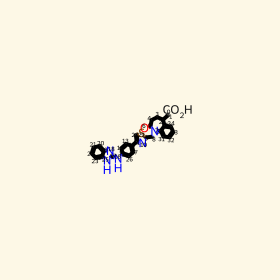 O=C(O)CC1CCC(=O)N(Cc2nc(-c3ccc(Nc4nc5ccccc5[nH]4)cc3)cs2)c2ccccc21